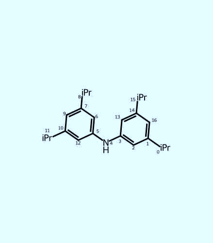 CC(C)c1cc(Nc2cc(C(C)C)cc(C(C)C)c2)cc(C(C)C)c1